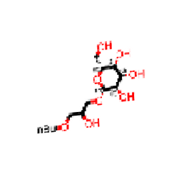 CCCCOCC(O)CO[C@@H]1O[C@H](CO)[C@@H](O)[C@H](O)[C@H]1O